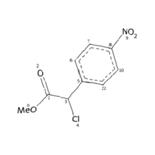 COC(=O)C(Cl)c1ccc([N+](=O)[O-])cc1